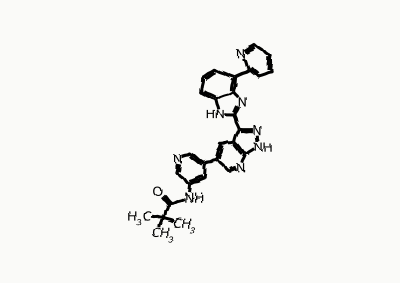 CC(C)(C)C(=O)Nc1cncc(-c2cnc3[nH]nc(-c4nc5c(-c6ccccn6)cccc5[nH]4)c3c2)c1